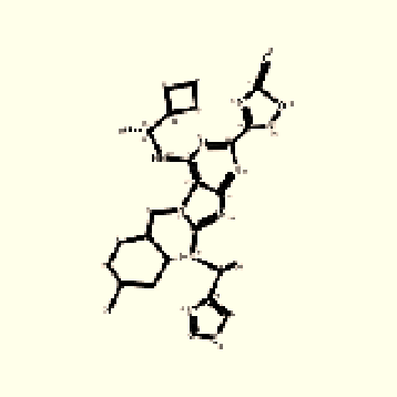 CC1CCC(Cn2c(NC(C)c3cscn3)nc3nc(-c4nc(=O)o[nH]4)nc(N[C@H](C)C4CCC4)c32)CC1